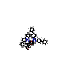 c1ccc(-c2ccc(N(c3ccc(-c4ccccc4)cc3)c3ccc(-c4cccc5c4C4(c6ccccc6-5)c5ccccc5-n5c6ccccc6c6cccc4c65)cc3)cc2)cc1